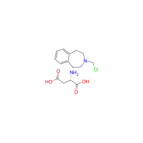 ClCN1CCc2ccccc2CC1.N[C@@H](CC(=O)O)C(=O)O